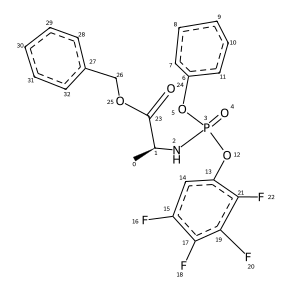 C[C@H](NP(=O)(Oc1ccccc1)Oc1cc(F)c(F)c(F)c1F)C(=O)OCc1ccccc1